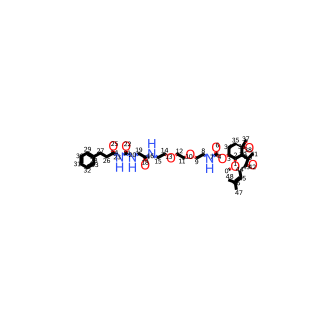 COC1C(OC(=O)NCCOCCOCCNC(=O)CNC(=O)NC(=O)CCc2ccccc2)CC[C@]2(CO2)C1C1(C)O[C@@H]1CC=C(C)C